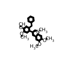 COc1cc(Cc2ccccc2)c(-c2cc3cc(OC)c(OC)cc3[n+](C)c2)cc1OC